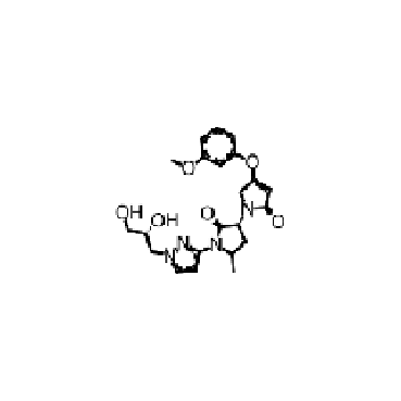 COc1cccc(OC2=CC(=O)N([C@H]3CC(C)N(c4ccn(C[C@@H](O)CO)n4)C3=O)C2)c1